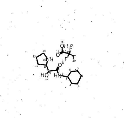 O=C(NC1CCCCC1)C(O)C1CCCN1.O=C(O)C(F)(F)F